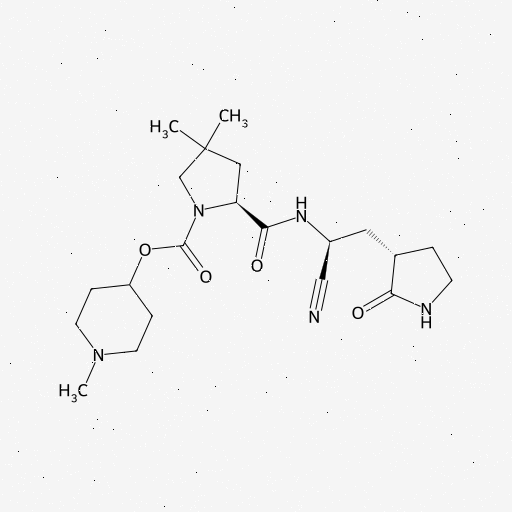 CN1CCC(OC(=O)N2CC(C)(C)C[C@H]2C(=O)N[C@H](C#N)C[C@@H]2CCNC2=O)CC1